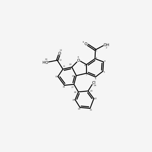 O=C(O)c1cccc2c1oc1c(C(=O)O)ccc(-c3ccccc3Cl)c12